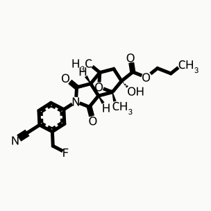 CCCOC(=O)[C@]1(O)CC2(C)O[C@@]1(C)[C@@H]1C(=O)N(c3ccc(C#N)c(CF)c3)C(=O)[C@@H]12